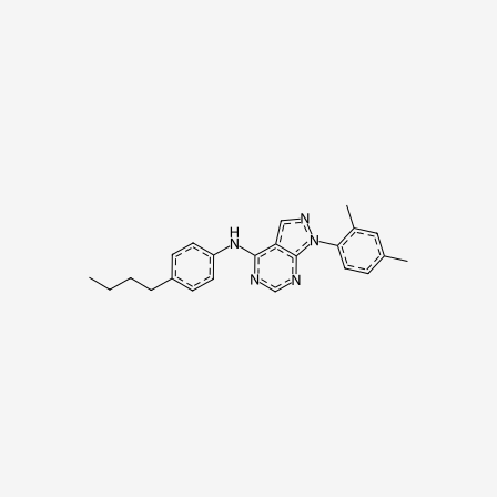 CCCCc1ccc(Nc2ncnc3c2cnn3-c2ccc(C)cc2C)cc1